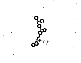 O=C(O)C[n+]1c(/C=C/c2ccc3c(c2)C2CCCC2N3c2ccc(C=C(c3ccccc3)c3ccccc3)cc2)sc2c3ccccc3ccc21